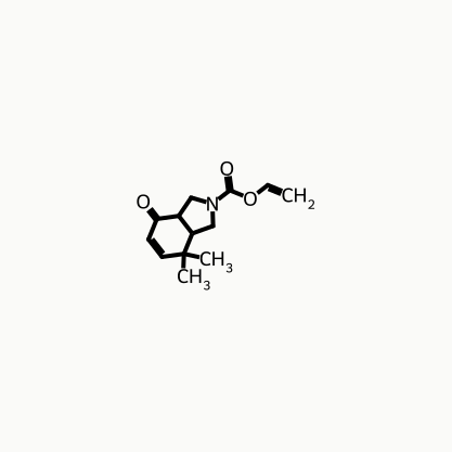 C=COC(=O)N1CC2C(=O)C=CC(C)(C)C2C1